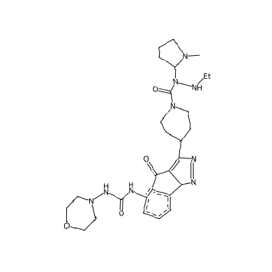 CCNN(C(=O)N1CCC(C2=C3C(=O)c4c(NC(=O)NN5CCOCC5)cccc4C3N=N2)CC1)C1CCCN1C